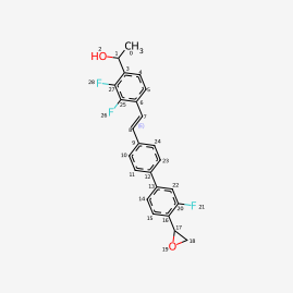 CC(O)c1ccc(/C=C/c2ccc(-c3ccc(C4CO4)c(F)c3)cc2)c(F)c1F